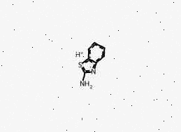 Nc1nc2ccccc2s1.[H+]